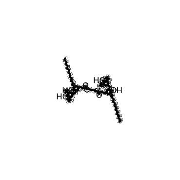 CCCCCCCCCCCCSCc1cc(CCC(=O)OCCCCOC(=O)CCc2cc(CSCCCCCCCCCCCC)c(O)c(Cc3cc(C(C)(C)C)c(O)c(C(C)(C)C)c3)c2)cc(Cc2cc(C(C)(C)C)c(O)c(C(C)(C)C)c2)c1O